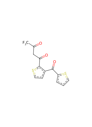 O=C(c1cccs1)c1ccsc1C(=O)CC(=O)C(F)(F)F